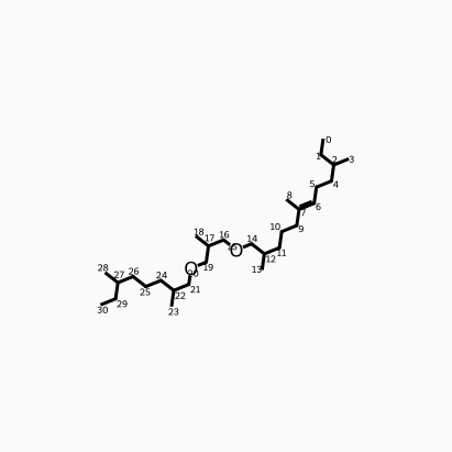 CCC(C)CC/C=C(\C)CCCC(C)COCC(C)COCC(C)CCCC(C)CC